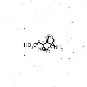 CC(C)CC(N)(C(=O)O)C(=O)C(N)CC(=O)O